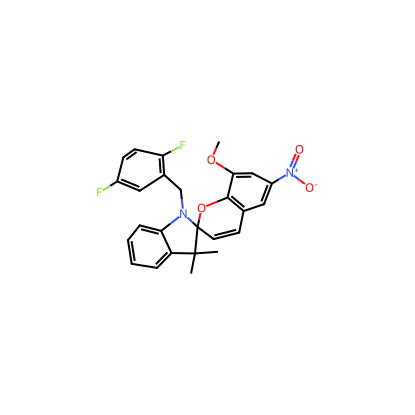 COc1cc([N+](=O)[O-])cc2c1OC1(C=C2)N(Cc2cc(F)ccc2F)c2ccccc2C1(C)C